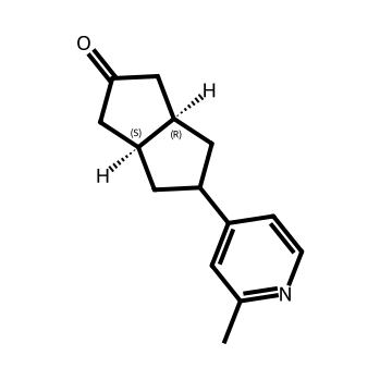 Cc1cc(C2C[C@H]3CC(=O)C[C@H]3C2)ccn1